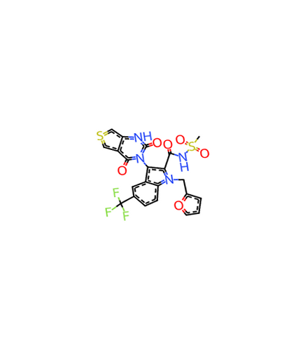 CS(=O)(=O)NC(=O)c1c(-n2c(=O)[nH]c3cscc3c2=O)c2cc(C(F)(F)F)ccc2n1Cc1ccco1